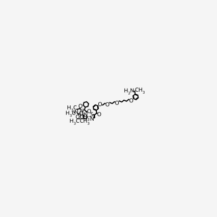 C[C@@H](N)c1cccc(OCCCCCOCCCOCCOc2cccc(C(=O)c3cnc([C@@H]4CCCN4C(=O)[C@@H](NC(=O)[C@H](C)N(C)C(=O)OC(C)(C)C)C4CCCCC4)s3)c2)c1